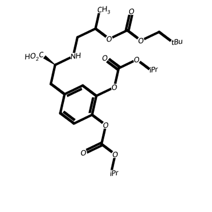 CC(C)OC(=O)Oc1ccc(C[C@H](NCC(C)OC(=O)OCC(C)(C)C)C(=O)O)cc1OC(=O)OC(C)C